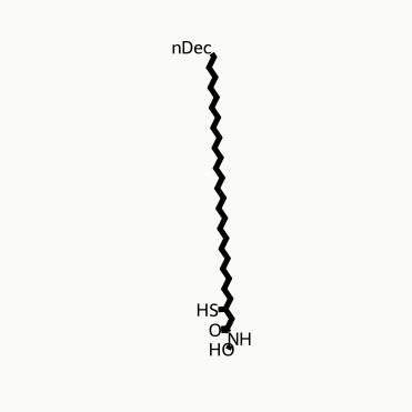 CCCCCCCCCCCCCCCCCCCCCCCCCCCCCCCCCCCC(S)CC(=O)NO